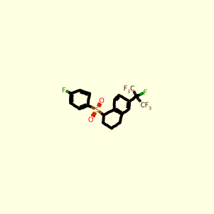 O=S(=O)(c1ccc(F)cc1)C1CCCc2cc(C(F)(C(F)(F)F)C(F)(F)F)ccc21